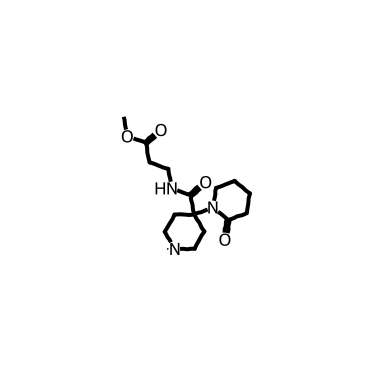 COC(=O)CCNC(=O)C1(N2CCCCC2=O)CC[N]CC1